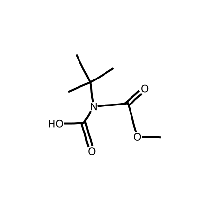 COC(=O)N(C(=O)O)C(C)(C)C